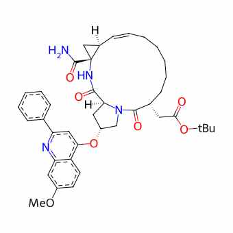 COc1ccc2c(O[C@@H]3C[C@H]4C(=O)N[C@]5(C(N)=O)C[C@H]5/C=C\CCCCC[C@H](CC(=O)OC(C)(C)C)C(=O)N4C3)cc(-c3ccccc3)nc2c1